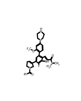 CC(C)C(=O)N1CCC=C(c2cc(-c3ccc(N4CCNCC4)cc3OC(F)(F)F)c3cc(C(=O)N(C)C)[nH]c3c2F)C1